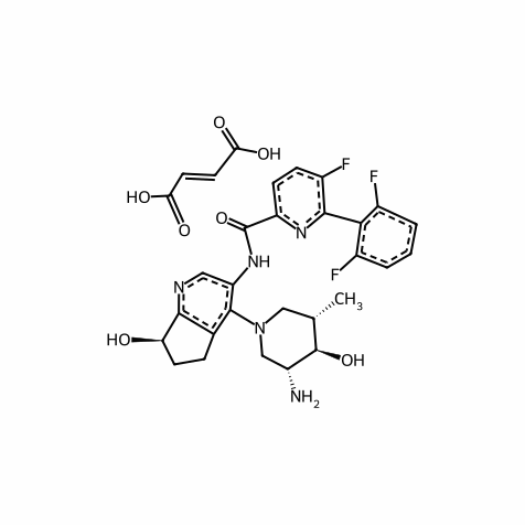 C[C@H]1CN(c2c(NC(=O)c3ccc(F)c(-c4c(F)cccc4F)n3)cnc3c2CC[C@H]3O)C[C@@H](N)[C@@H]1O.O=C(O)/C=C/C(=O)O